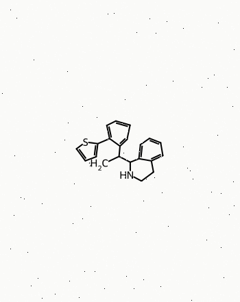 [CH2]C(c1ccccc1-c1cccs1)C1NCCc2ccccc21